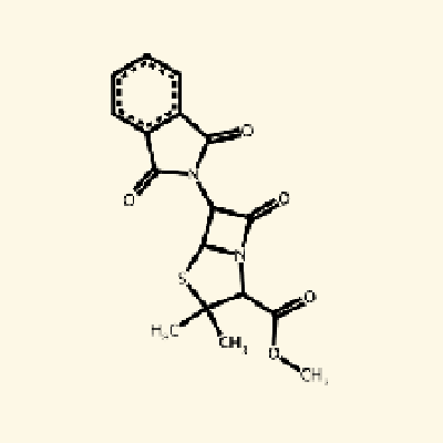 COC(=O)C1N2C(=O)C(N3C(=O)c4ccccc4C3=O)C2SC1(C)C